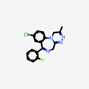 CC1=NN=C2CN=C(c3ccccc3F)c3cc(Cl)ccc3N2C1